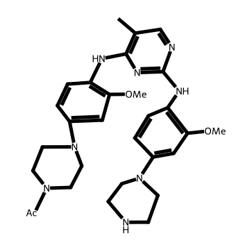 COc1cc(N2CCNCC2)ccc1Nc1ncc(C)c(Nc2ccc(N3CCN(C(C)=O)CC3)cc2OC)n1